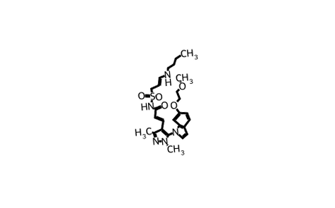 CCCCNC=CCS(=O)(=O)NC(=O)/C=C/c1c(C)nn(C)c1-n1ccc2ccc(OCCOC)cc21